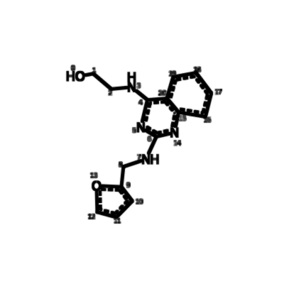 OCCNc1nc(NCc2ccco2)nc2ccccc12